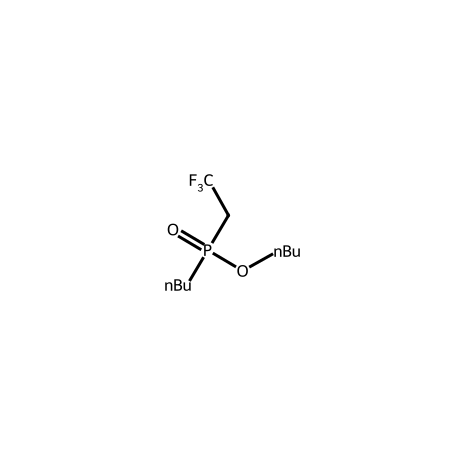 CCCCOP(=O)(CCCC)CC(F)(F)F